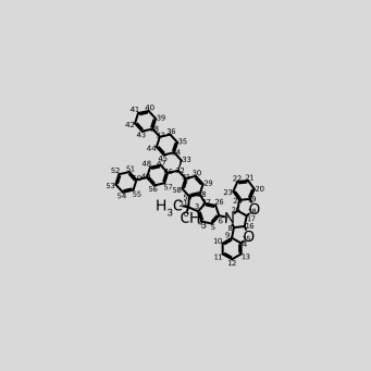 CC1(C)c2ccc(N3C4c5ccccc5OC4C4Oc5ccccc5C43)cc2-c2ccc([C@H](CC3=CCC(c4ccccc4)C=C3)c3ccc(-c4ccccc4)cc3)cc21